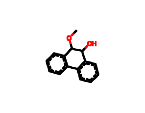 COC1c2ccccc2-c2ccccc2C1O